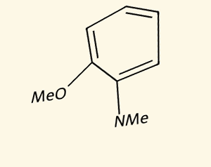 [CH2]Oc1ccccc1NC